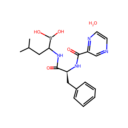 CC(C)CC(NC(=O)[C@H](Cc1ccccc1)NC(=O)c1cnccn1)B(O)O.O